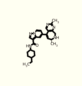 CCC1CCC(NC(=O)c2cnn3ccc(C4=C[C@@H](C)NCc5nc(C)ncc54)cc23)CC1